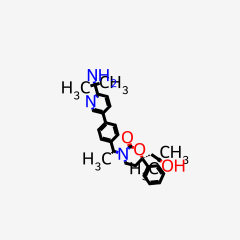 C[C@@H](c1ccc(-c2ccc(C(C)(C)N)nc2)cc1)N1CC[C@](CC(C)(C)O)(c2ccccc2)OC1=O